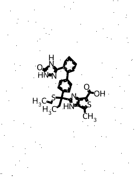 CCSC(CC)(c1ccc(-c2ccccc2-c2n[nH]c(=O)[nH]2)cc1)c1nc2c(C(=O)O)sc(C)c2[nH]1